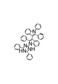 c1cccc(-c2c(-c3c(-c4ccccc4)n(C4=NC(c5ccccc5)NC(c5ccccc5)N4)c4ccccc34)c3ccccc3n2-c2ccccc2)c#1